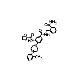 Cc1ccccc1N1CCN(c2ccc(C(=O)NCc3ccccc3C(N)=O)cc2NC(=O)c2ccco2)CC1